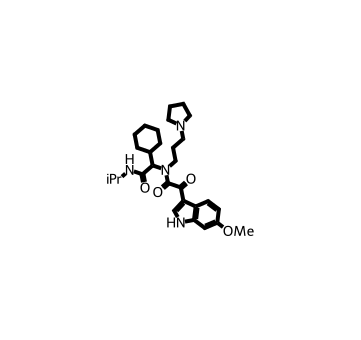 COc1ccc2c(C(=O)C(=O)N(CCCN3CCCC3)C(C(=O)NC(C)C)C3CCCCC3)c[nH]c2c1